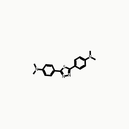 CN(C)c1ccc(-c2nnc(-c3ccc(N(C)C)cc3)s2)cc1